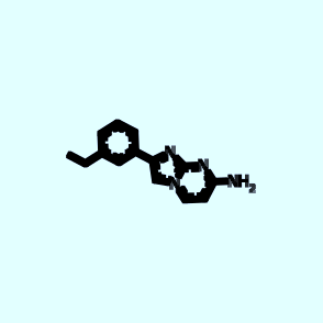 CCc1cccc(-c2cn3ccc(N)nc3n2)c1